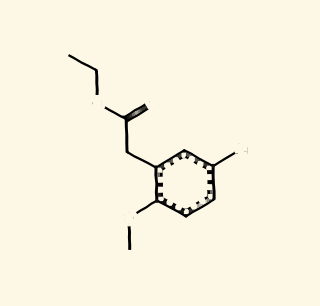 CCOC(=O)Cc1cc(Br)ccc1OC